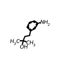 CC(C)(O)CCc1cccc(N)c1